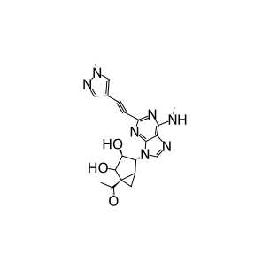 CNc1nc(C#Cc2cnn(C)c2)nc2c1ncn2[C@@H]1C2C[C@]2(C(C)=O)C(O)[C@H]1O